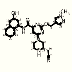 Cn1cc(COc2nc(C(=O)Nc3cc(O)cc4ccccc34)cc(N3CCN[C@@H](CC#N)C3)n2)cn1